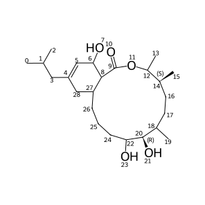 CC(C)CC1=CC(O)C2C(=O)OC(C)[C@@H](C)CCC(C)[C@@H](O)C(O)CCCC2C1